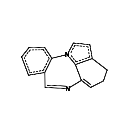 C1=NC2=CCCc3ccn(c32)-c2ccccc21